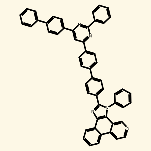 c1ccc(-c2ccc(-c3cc(-c4ccc(-c5ccc(-c6nc7c8ccccc8c8ccncc8c7n6-c6ccccc6)cc5)cc4)nc(-c4ccccc4)n3)cc2)cc1